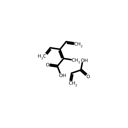 C=CC(=O)O.C=CC(C=C)=C(C)C(=O)O